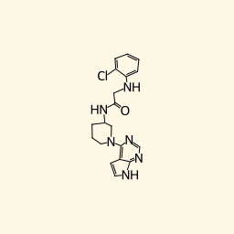 O=C(CNc1ccccc1Cl)NC1CCCN(c2ncnc3[nH]ccc23)C1